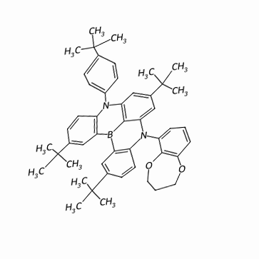 CC(C)(C)c1ccc(N2c3ccc(C(C)(C)C)cc3B3c4cc(C(C)(C)C)ccc4N(c4cccc5c4OCCCO5)c4cc(C(C)(C)C)cc2c43)cc1